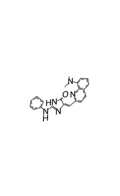 CN(C)c1cccc2ccc(C=C3N=C(Nc4ccccc4)NC3=O)nc12